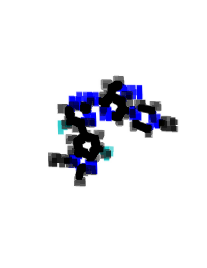 CCN1CCN(c2cnc(Nc3ncc(F)c(-c4cc(F)c5nc(C)n(C(C)C)c5c4)n3)c3cc[nH]c23)CC1